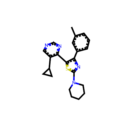 Cc1cccc(-c2nc(N3CCCCC3)sc2-c2n[c]ncc2C2CC2)c1